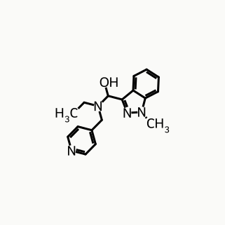 CCN(Cc1ccncc1)C(O)c1nn(C)c2ccccc12